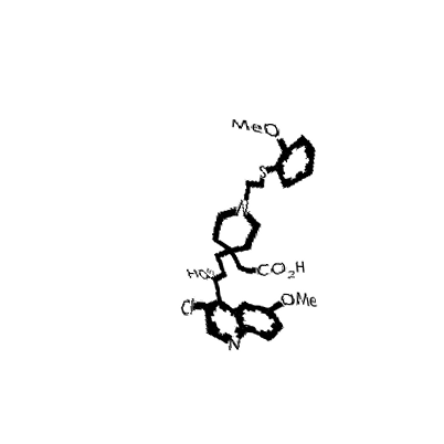 COc1ccc2ncc(Cl)c([C@H](O)CCC3(CC(=O)O)CCN(CCSc4ccccc4OC)CC3)c2c1